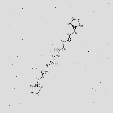 C1CCN(CCOCCNCCNCCOCCN2CCCC2)C1